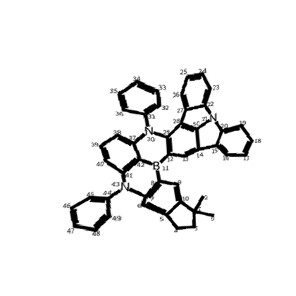 CC1(C)CCc2cc3c(cc21)B1c2cc4c5ccccc5n5c6ccccc6c(c2N(c2ccccc2)c2cccc(c21)N3c1ccccc1)c45